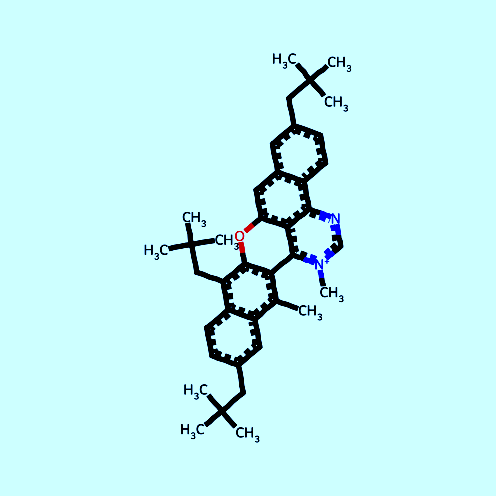 Cc1c2c(c(CC(C)(C)C)c3ccc(CC(C)(C)C)cc13)Oc1cc3cc(CC(C)(C)C)ccc3c3nc[n+](C)c-2c13